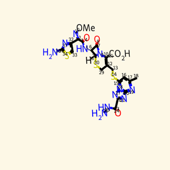 CO/N=C(\C(=O)N[C@@H]1C(=O)N2C(C(=O)O)=C(CSc3cc(C)nc4nc(C(=O)NN)nn34)CS[C@H]12)c1csc(N)n1